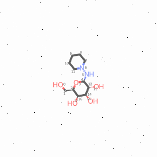 OC[C@H]1O[C@@H](NN2CCCCC2)[C@H](O)[C@@H](O)[C@H]1O